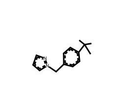 CC(C)(C)c1ccc(Cn2cccn2)cc1